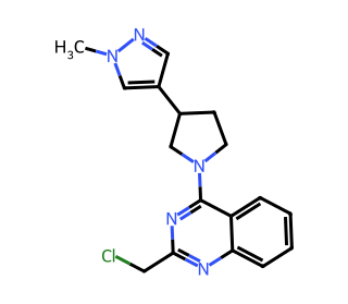 Cn1cc(C2CCN(c3nc(CCl)nc4ccccc34)C2)cn1